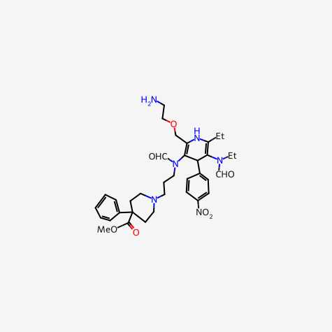 CCC1=C(N(C=O)CC)C(c2ccc([N+](=O)[O-])cc2)C(N(C=O)CCCN2CCC(C(=O)OC)(c3ccccc3)CC2)=C(COCCN)N1